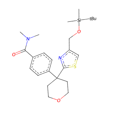 CN(C)C(=O)c1ccc(C2(c3nc(CO[Si](C)(C)C(C)(C)C)cs3)CCOCC2)cc1